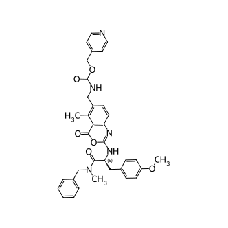 COc1ccc(C[C@H](Nc2nc3ccc(CNC(=O)OCc4ccncc4)c(C)c3c(=O)o2)C(=O)N(C)Cc2ccccc2)cc1